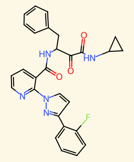 O=C(NC1CC1)C(=O)C(Cc1ccccc1)NC(=O)c1cccnc1-n1ccc(-c2ccccc2F)n1